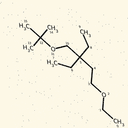 CCOCCC(CC)(CC)COC(C)(C)C